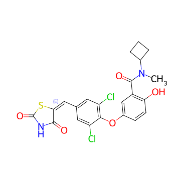 CN(C(=O)c1cc(Oc2c(Cl)cc(/C=C3/SC(=O)NC3=O)cc2Cl)ccc1O)C1CCC1